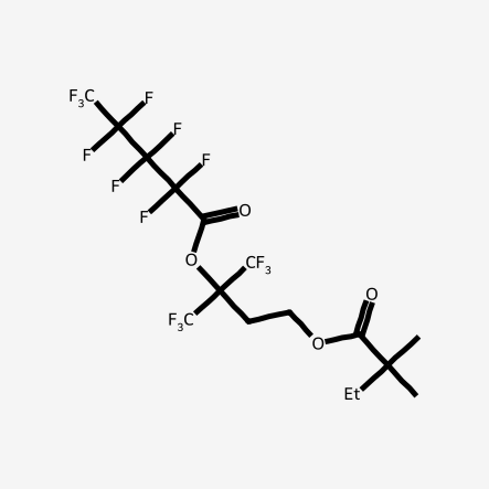 CCC(C)(C)C(=O)OCCC(OC(=O)C(F)(F)C(F)(F)C(F)(F)C(F)(F)F)(C(F)(F)F)C(F)(F)F